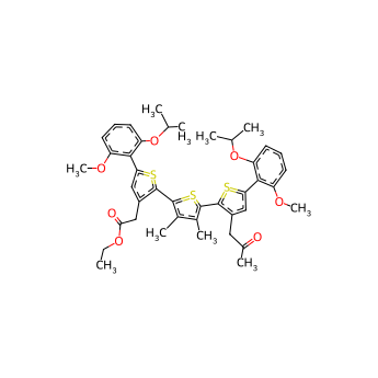 CCOC(=O)Cc1cc(-c2c(OC)cccc2OC(C)C)sc1-c1sc(-c2sc(-c3c(OC)cccc3OC(C)C)cc2CC(C)=O)c(C)c1C